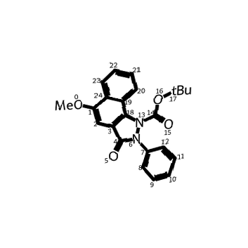 COc1cc2c(=O)n(-c3ccccc3)n(C(=O)OC(C)(C)C)c2c2ccccc12